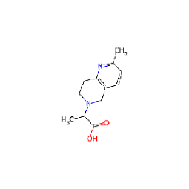 Cc1ccc2c(n1)CCN(C(C)C(=O)O)C2